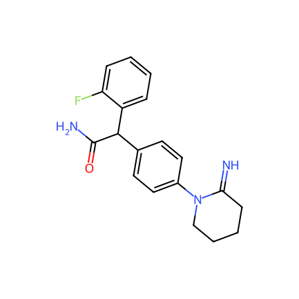 N=C1CCCCN1c1ccc(C(C(N)=O)c2ccccc2F)cc1